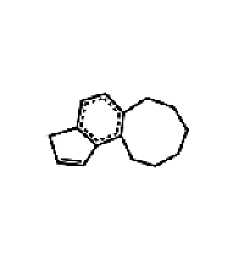 [CH]1C=Cc2c1ccc1c2CCCCCC1